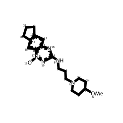 COC1CCN(CCCNc2nc3cc4c(cc3[n+]([O-])n2)CCC4)CC1